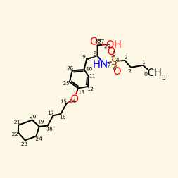 CCCCS(=O)(=O)N[C@@H](Cc1ccc(OCCCCC2CCCCC2)cc1)C(=O)O